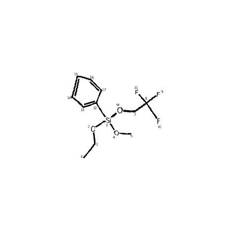 CCO[Si](OC)(OCC(F)(F)F)c1ccccc1